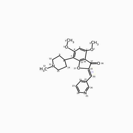 COc1cc(OC)c(C2CCN(C)CC2)c2c1C(=O)/C(=C/c1cccnc1)O2